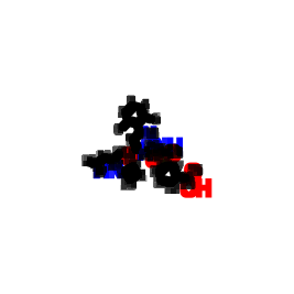 Cc1cccc(C)c1-c1cc(OCC(CC(C)C)NC2CCC2)nc(NS(=O)(=O)c2cccc(C(=O)O)c2)n1